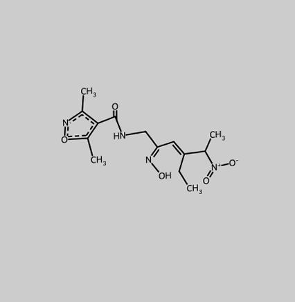 CCC(=CC(CNC(=O)c1c(C)noc1C)=NO)C(C)[N+](=O)[O-]